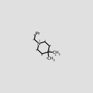 CC(C)CN1CCC(C)(C)CC1